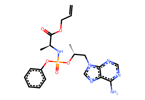 C=CCOC(=O)[C@H](C)NP(=O)(Oc1ccccc1)O[C@H](C)Cn1cnc2c(N)ncnc21